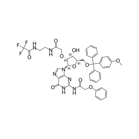 COc1ccc(C(OC[C@H]2O[C@@H](n3cnc4c(=O)[nH]c(NC(=O)COc5ccccc5)nc43)[C@H](OCC(=O)NCCNC(=O)C(F)(F)F)[C@@H]2O)(c2ccccc2)c2ccccc2)cc1